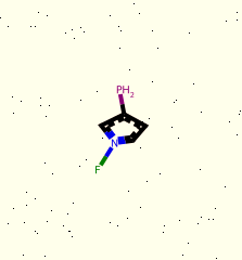 Fn1ccc(P)c1